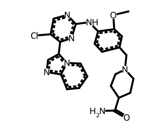 COc1cc(CN2CCC(C(N)=O)CC2)ccc1Nc1ncc(Cl)c(-c2cnc3ccccn23)n1